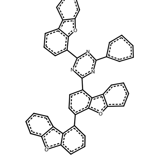 c1ccc(-c2nc(-c3cccc4c3oc3ccccc34)nc(-c3ccc(-c4cccc5oc6ccccc6c45)c4oc5ccccc5c34)n2)cc1